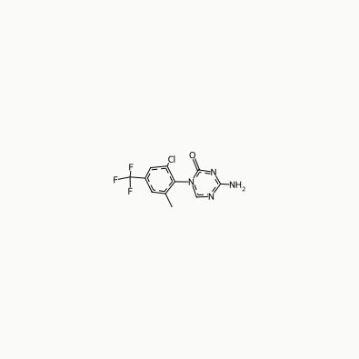 Cc1cc(C(F)(F)F)cc(Cl)c1-n1cnc(N)nc1=O